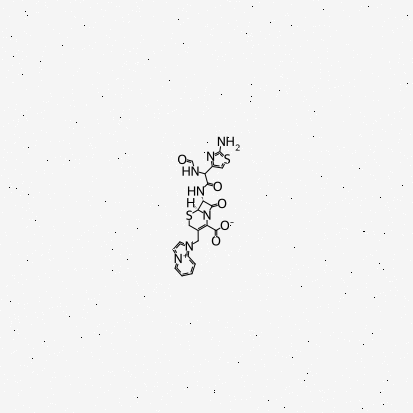 Nc1nc(C(NC=O)C(=O)N[C@@H]2C(=O)N3C(C(=O)[O-])=C(Cn4cc[n+]5ccccc45)CS[C@@H]23)cs1